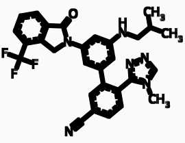 CC(C)CNc1cc(-c2cc(C#N)ccc2-c2nncn2C)cc(N2Cc3c(cccc3C(F)(F)F)C2=O)c1